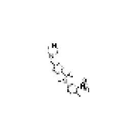 Cc1ccc(NC(=O)c2ccc(CN3CCN(C)CC3)cc2)cc1[N+](=O)[O-]